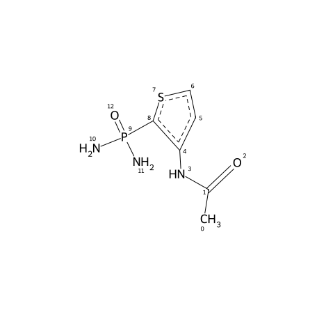 CC(=O)Nc1ccsc1P(N)(N)=O